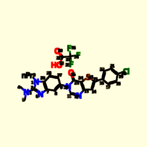 CCCn1c(N(C)C)nc2cc(-n3cnc4cc(-c5ccc(Cl)cc5)sc4c3=O)ccc21.O=C(O)C(F)(F)F